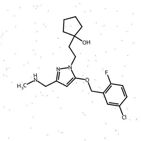 CNCc1cc(OCc2cc(Cl)ccc2F)n(CCC2(O)CCCC2)n1